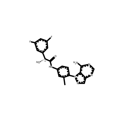 Cc1cc(NC(=O)[C@H](O)c2cc(F)cc(F)c2)ccc1-n1ncc2ncnc(N)c21